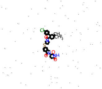 CC1(C)CCC(C(=O)N2CCC(Sc3ccc4c(c3)CN(C3CCC(=O)NC3=O)C4=O)C2)=C(c2ccc(Cl)cc2)C1